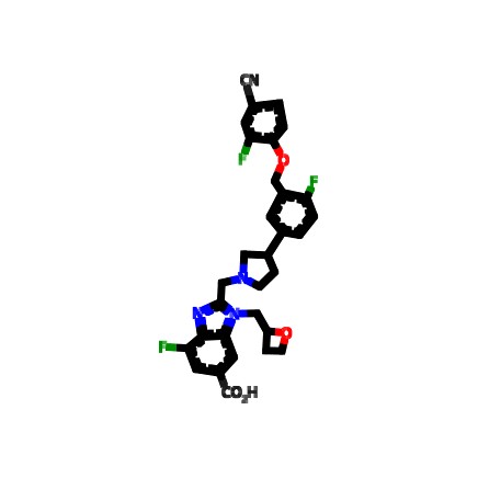 N#Cc1ccc(OCc2cc(C3CCN(Cc4nc5c(F)cc(C(=O)O)cc5n4CC4CCO4)C3)ccc2F)c(F)c1